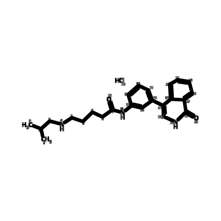 CC(C)CNCCCCC(=O)Nc1cccc(-c2n[nH]c(=O)c3ccccc23)c1.Cl